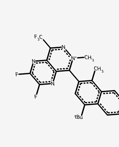 Cc1c(-c2c3nc(F)c(F)nc3c(C(F)(F)F)n[n+]2C)cc(C(C)(C)C)c2ccccc12